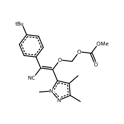 COC(=O)OCO/C(=C(/C#N)c1ccc(C(C)(C)C)cc1)c1c(C)c(C)nn1C